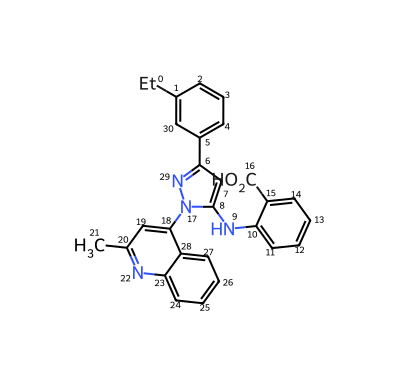 CCc1cccc(-c2cc(Nc3ccccc3C(=O)O)n(-c3cc(C)nc4ccccc34)n2)c1